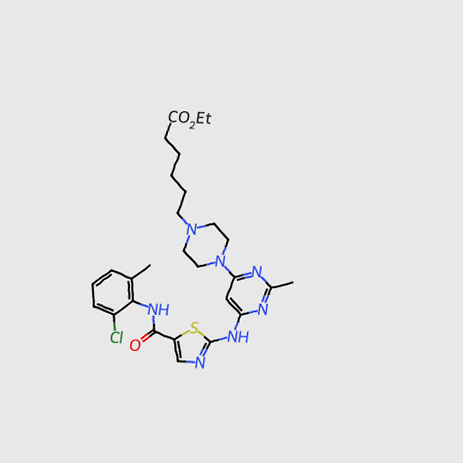 CCOC(=O)CCCCCN1CCN(c2cc(Nc3ncc(C(=O)Nc4c(C)cccc4Cl)s3)nc(C)n2)CC1